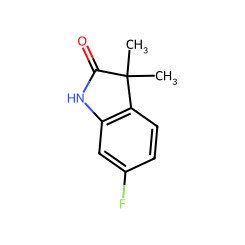 CC1(C)C(=O)Nc2cc(F)ccc21